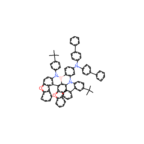 CC(C)(C)c1ccc(N2B3c4ccc(N(c5ccc(-c6ccccc6)cc5)c5ccc(-c6ccccc6)cc5)cc4N(c4ccc(C(C)(C)C)cc4-c4ccccc4)c4cc5c(oc6ccccc65)c(c43)-c3c2ccc2oc4ccccc4c32)cc1